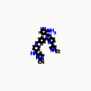 CCn1cc(-c2ccc3nc(-c4cccnc4N)n(-c4ccc(CN5CCC(Nc6ccnc(C#N)n6)CC5)cc4)c3n2)cn1